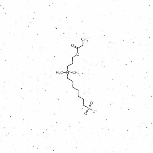 C=CC(=O)OCCC[N+](C)(C)CCCCCCCS(=O)(=O)[O-]